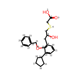 O=C(O)CSCC(O)Cc1cccc(C2CCCC2)c1OCc1ccccc1